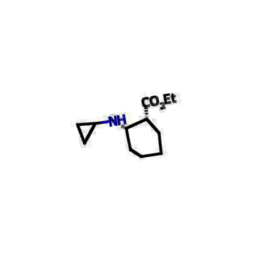 CCOC(=O)[C@@H]1CCCC[C@@H]1NC1CC1